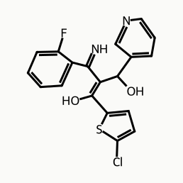 N=C(/C(=C(\O)c1ccc(Cl)s1)C(O)c1cccnc1)c1ccccc1F